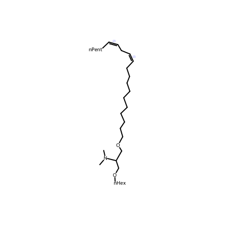 CCCCC/C=C\C/C=C\CCCCCCCCCCOCC(COCCCCCC)N(C)C